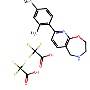 COc1ccc(-c2ccc3c(n2)OCCNC3)c(C)c1.O=C(O)C(F)(F)F.O=C(O)C(F)(F)F